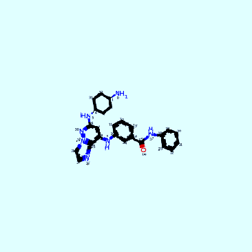 N[C@H]1CC[C@H](Nc2cc(Nc3cccc(C(=O)Nc4ccccc4)c3)c3nccn3n2)CC1